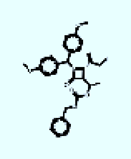 C=C(CI)[C@@H]1[C@@H]([C@@H](C)OC(=O)OCc2ccccc2)C(=O)N1C(c1ccc(OC)cc1)c1ccc(OC)cc1